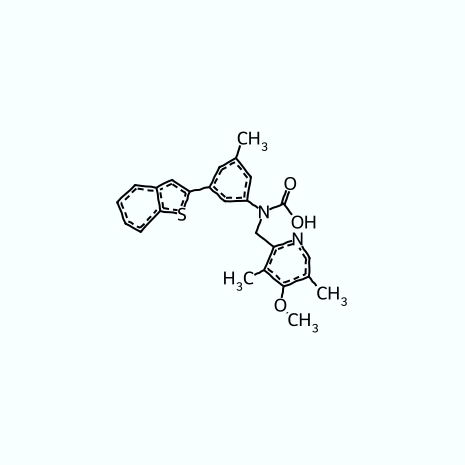 COc1c(C)cnc(CN(C(=O)O)c2cc(C)cc(-c3cc4ccccc4s3)c2)c1C